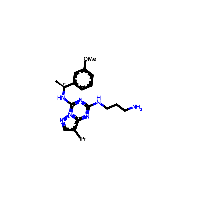 COc1cccc([C@H](C)Nc2nc(NCCCN)nc3c(C(C)C)cnn23)c1